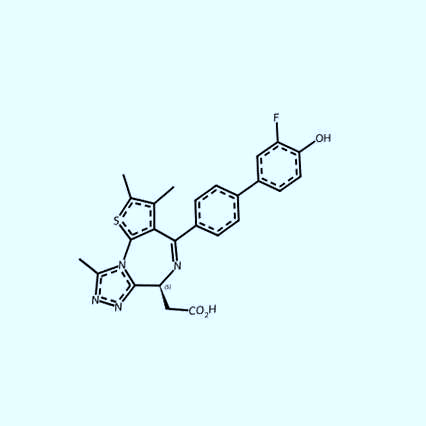 Cc1sc2c(c1C)C(c1ccc(-c3ccc(O)c(F)c3)cc1)=N[C@@H](CC(=O)O)c1nnc(C)n1-2